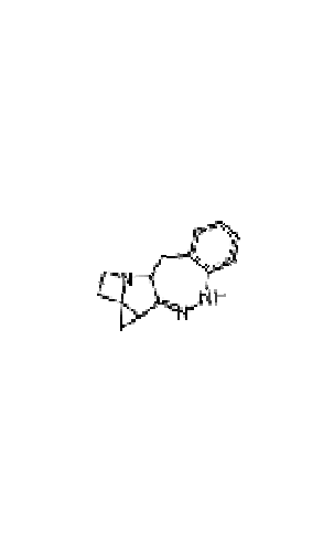 c1ccc2c(c1)CC1C(=NN2)C2CC23CCN13